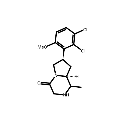 COc1ccc(Cl)c(Cl)c1[C@H]1C[C@H]2C(C)NCC(=O)N2C1